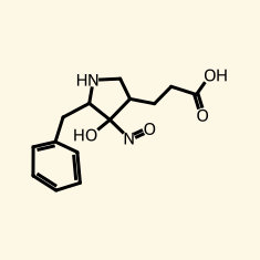 O=NC1(O)C(CCC(=O)O)CNC1Cc1ccccc1